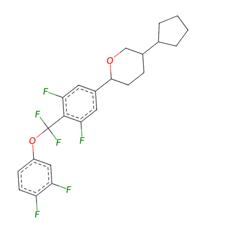 Fc1ccc(OC(F)(F)c2c(F)cc(C3CCC(C4CCCC4)CO3)cc2F)cc1F